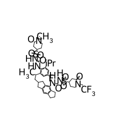 CC(C)c1cc(F)cc(C(C)CC2Cc3cc4c(c(NC(=O)NS(=O)(=O)C5CCN(CC(F)(F)F)C(=O)C5)c3C2)CCC4)c1NC(=O)NS(=O)(=O)C1CCN(C)C(=O)C1